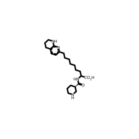 O=C(O)C(CCCCCCCc1ccc2c(n1)NCCC2)NC(=O)[C@@H]1CCCNC1